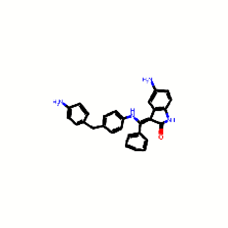 Nc1ccc(Cc2ccc(NC(=C3C(=O)Nc4ccc(N)cc43)c3ccccc3)cc2)cc1